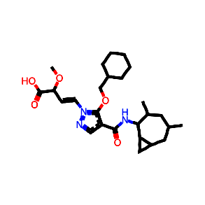 COC(/C=C/n1ncc(C(=O)NC2C(C)CC(C)CC3CC32)c1OCC1CCCCC1)C(=O)O